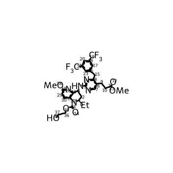 CC[C@@H]1C[C@H](Nc2ncc(CCC(=O)OC)c(Cc3cc(C(F)(F)F)cc(C(F)(F)F)c3)n2)c2nc(OC)ccc2N1C(=O)OCCO